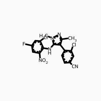 Cc1nn(C)c(Nc2c(Cl)cc(F)cc2[N+](=O)[O-])c1-c1ccc(C#N)cc1Cl